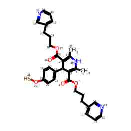 CC1=C(C(=O)OCCCc2cccnc2)C(c2ccc(OS)cc2)C(C(=O)OCCCc2cccnc2)=C(C)N1